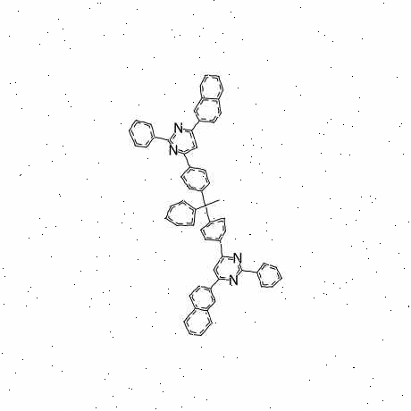 CC(c1ccccc1)(c1ccc(-c2cc(-c3ccc4ccccc4c3)nc(-c3ccccc3)n2)cc1)c1ccc(-c2cc(-c3ccc4ccccc4c3)nc(-c3ccccc3)n2)cc1